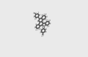 Cc1ccc(-c2cc3c4ccccc4c4c(c5ccccc5n4-c4ccc(C)cc4)c3c3ccccc23)cc1